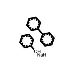 Oc1ccccc1.[NaH].c1ccc(-c2ccccc2)cc1